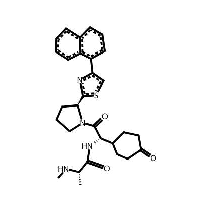 CN[C@@H](C)C(=O)N[C@H](C(=O)N1CCC[C@H]1c1nc(-c2cccc3ccccc23)cs1)C1CCC(=O)CC1